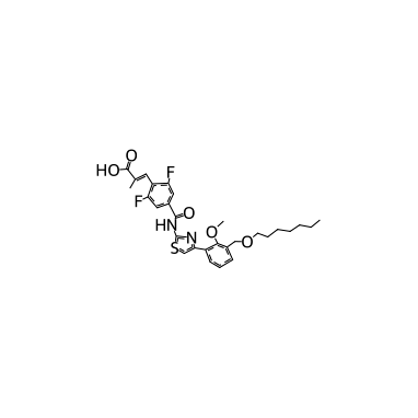 CCCCCCCOCc1cccc(-c2csc(NC(=O)c3cc(F)c(C=C(C)C(=O)O)c(F)c3)n2)c1OC